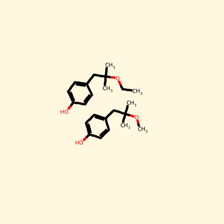 CCOC(C)(C)Cc1ccc(O)cc1.COC(C)(C)Cc1ccc(O)cc1